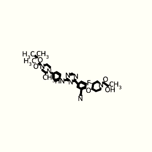 C[C@H](O)C(=O)N1CC[C@H](Oc2ccc(-c3ncnc(Nc4ccc(N5CCN(C(=O)OC(C)(C)C)C[C@@H]5C)cc4)n3)cc2C#N)[C@H](F)C1